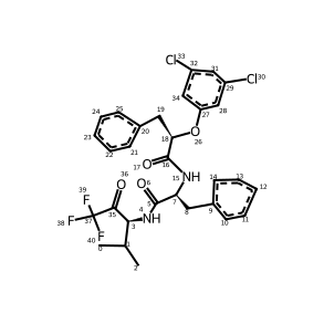 CC(C)[C@H](NC(=O)[C@H](Cc1ccccc1)NC(=O)[C@@H](Cc1ccccc1)Oc1cc(Cl)cc(Cl)c1)C(=O)C(F)(F)F